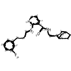 O=C(NCC1CC2CCC1C2)c1cccnc1SCCCc1cccc(F)c1